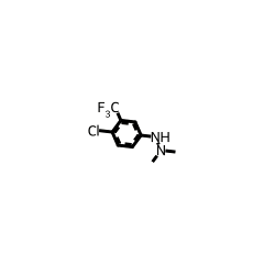 CN(C)Nc1ccc(Cl)c(C(F)(F)F)c1